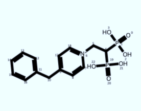 O=P(O)(O)C(C[n+]1ccc(Cc2ccccc2)cc1)P(=O)(O)O